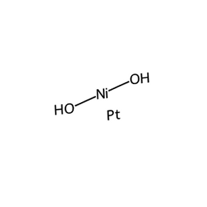 [OH][Ni][OH].[Pt]